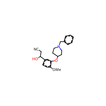 COc1ccc(C(O)CC#N)cc1OC1CCN(Cc2ccccc2)CC1